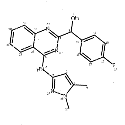 Cc1cc(Nc2nc(C(O)c3ccc(F)cc3)nc3ccccc23)nn1C